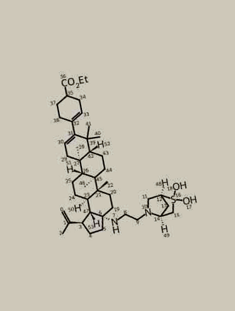 C=C(C)[C@@H]1CC[C@]2(NCCN3C[C@@H]4C[C@H]3CS4(O)O)CC[C@]3(C)[C@H](CC[C@@H]4[C@@]5(C)CC=C(C6=CCC(C(=O)OCC)CC6)C(C)(C)[C@@H]5CC[C@]43C)[C@@H]12